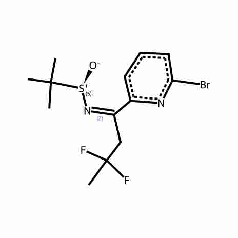 CC(F)(F)C/C(=N/[S@+]([O-])C(C)(C)C)c1cccc(Br)n1